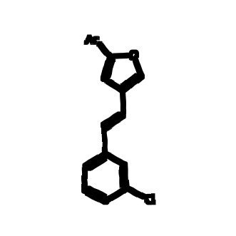 CC(=O)c1cc(C=Cc2cccc(Cl)c2)co1